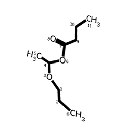 CCCOC(C)OC(=O)CCC